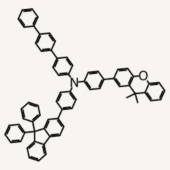 CC1(C)c2ccccc2Oc2ccc(-c3ccc(N(c4ccc(-c5ccc(-c6ccccc6)cc5)cc4)c4ccc(-c5ccc6c(c5)C(c5ccccc5)(c5ccccc5)c5ccccc5-6)cc4)cc3)cc21